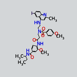 CCC(C)NC(=O)c1ccc(NC(=O)CCN(CCNc2cc(C)nc3ccc(I)cc23)S(=O)(=O)c2ccc(OC)cc2)c(OC)c1